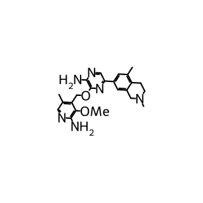 COc1c(N)ncc(C)c1COc1nc(-c2cc(C)c3c(c2)CN(C)CC3)cnc1N